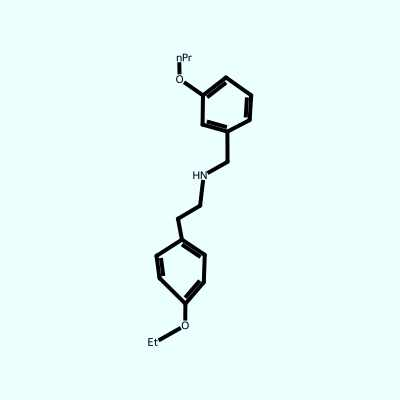 CCCOc1cccc(CNCCc2ccc(OCC)cc2)c1